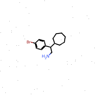 NCC(c1ccc(Br)cc1)C1CCCCCC1